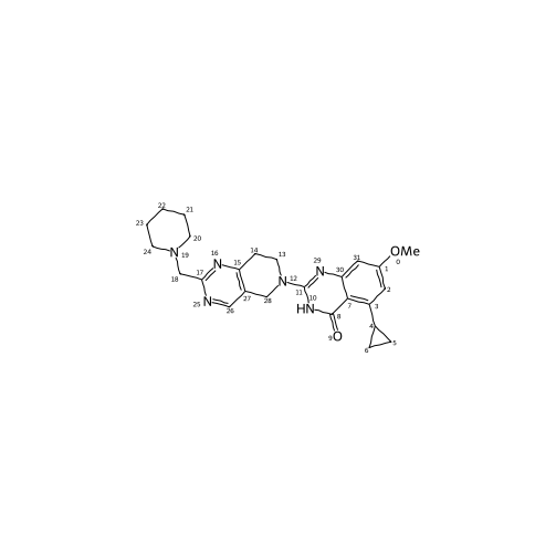 COc1cc(C2CC2)c2c(=O)[nH]c(N3CCc4nc(CN5CCCCC5)ncc4C3)nc2c1